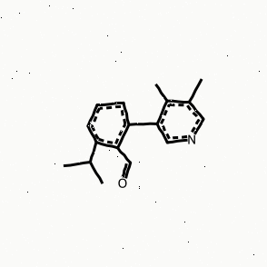 Cc1cncc(-c2cccc(C(C)C)c2C=O)c1C